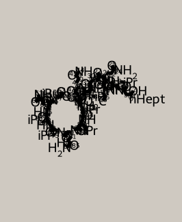 CCCCCCC[C@@H](O)CC(=O)N[C@@H](CC(C)C)C(=O)N[C@H](CCC(=O)O)C(=O)N[C@H](CCC(N)=O)C(=O)N[C@H](C)C(=O)N[C@H](CC(C)C)C(=O)N[C@@H](CCC(N)=O)C(=O)N[C@@H]1COC(=O)[C@H]([C@@H](C)CC)NC(=O)[C@@H](CCC(N)=O)NC(=O)[C@H](CC(C)C)NC(=O)[C@H](CC(C)C)NC(=O)[C@@H](CCC(N)=O)NC(=O)C(CC(C)C)NC(=O)[C@@H](C(C)C)NC1=O